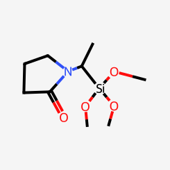 CO[Si](OC)(OC)C(C)N1CCCC1=O